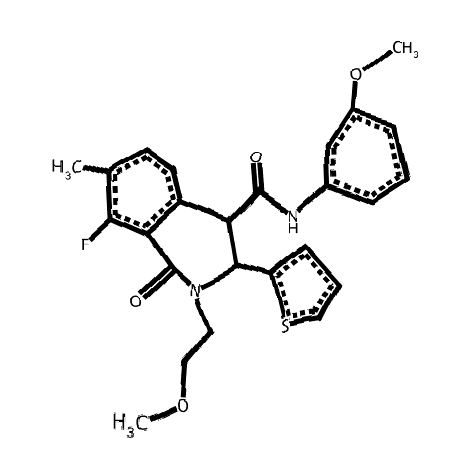 COCCN1C(=O)c2c(ccc(C)c2F)C(C(=O)Nc2cccc(OC)c2)C1c1cccs1